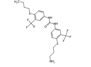 CCCCSc1ccc(NC(=O)Nc2ccc(SCCCN)c(C(F)(F)F)c2)cc1C(F)(F)F